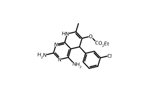 CCOC(=O)OC1=C(C)Nc2nc(N)nc(N)c2C1c1cccc(Cl)c1